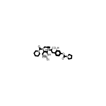 C#CCN(C(=O)N1CCCCC1)/C(C=N)=C(\NC(Cc1ccc(OC(=O)N2CCCC2)cc1)C(=O)O)NN(CC)CC